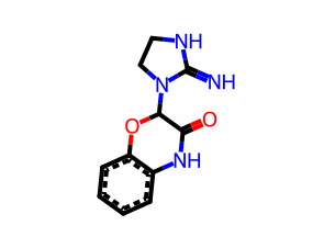 N=C1NCCN1C1Oc2ccccc2NC1=O